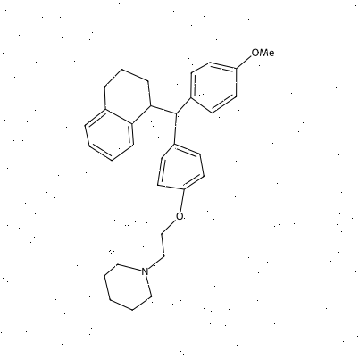 COc1ccc(C(c2ccc(OCCN3CCCCC3)cc2)C2CCCc3ccccc32)cc1